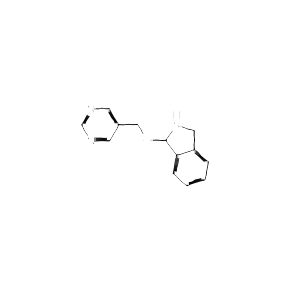 c1ccc2c(c1)CNC2OCc1cncnc1